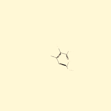 COc1cc(Cl)c([N+](=O)[O-])c(C)n1